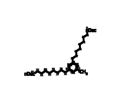 CCCCCCCCCCCCCCCCCCc1nc(C)nc(CCCCCCCCCCCCCCCCCC)n1